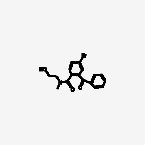 CN(CCO)C(=O)c1ccc(Br)cc1C(=O)c1ccccc1